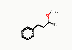 CCC(CCc1ccccc1)OC=O